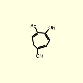 CC(=O)C1=CCC(O)=CC=C1O